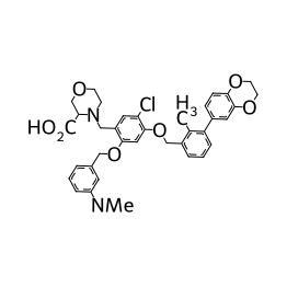 CNc1cccc(COc2cc(OCc3cccc(-c4ccc5c(c4)OCCO5)c3C)c(Cl)cc2CN2CCOCC2C(=O)O)c1